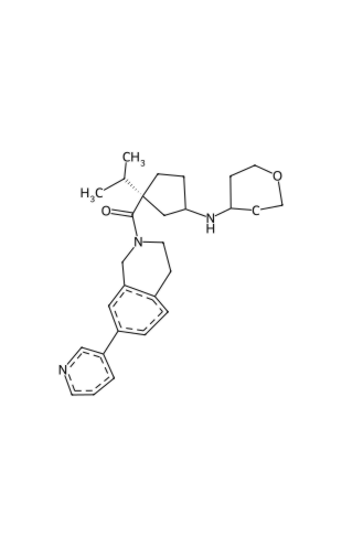 CC(C)[C@]1(C(=O)N2CCc3ccc(-c4cccnc4)cc3C2)CCC(NC2CCOCC2)C1